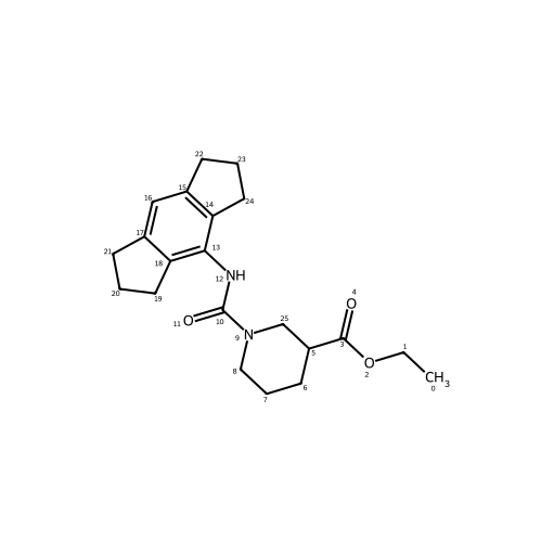 CCOC(=O)C1CCCN(C(=O)Nc2c3c(cc4c2CCC4)CCC3)C1